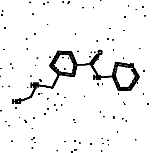 O=C(Nc1cccnc1)c1cccc(CNCO)c1